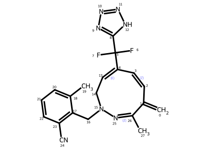 C=C1/C=C\C(C(F)(F)c2nnn[nH]2)=C/CN(Cc2c(C)cccc2C#N)/N=C\1C